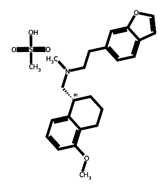 COc1cccc2c1CCC[C@H]2CN(C)CCc1ccc2ccoc2c1.CS(=O)(=O)O